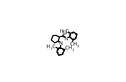 C/C(=N\c1c(C)cccc1C)C1CCCC/C1=N\c1c(C)cccc1C